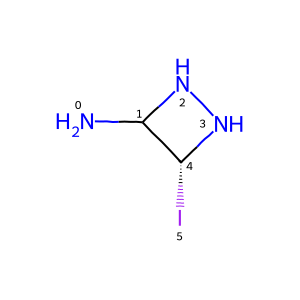 NC1NN[C@@H]1I